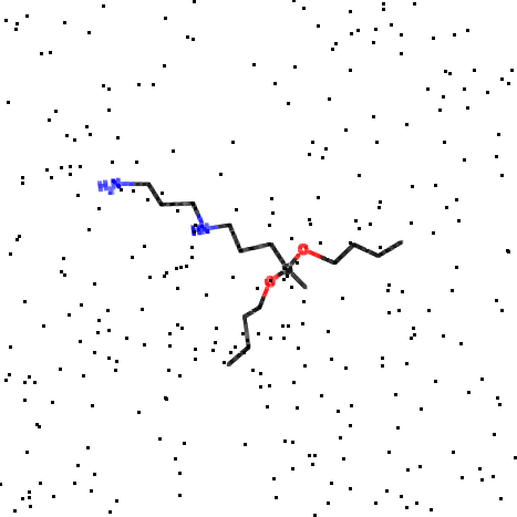 CCCCO[Si](C)(CCCNCCCN)OCCCC